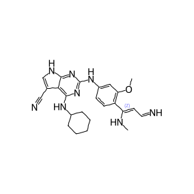 CN/C(=C\C=N)c1ccc(Nc2nc(NC3CCCCC3)c3c(C#N)c[nH]c3n2)cc1OC